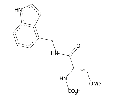 COC[C@H](NC(=O)O)C(=O)NCc1cccc2[nH]ccc12